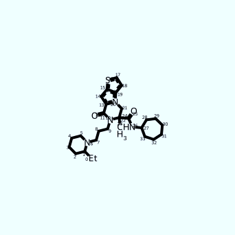 CCC1CCCCN1CCCN1C(=O)c2cc3sccc3n2CC1(C)C(=O)NC1CCCCCC1